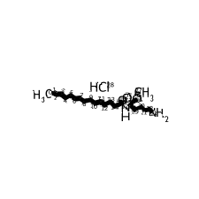 CCCCCCCCCCCCCCCC(=O)NC(CCCCN)C(=O)OC.Cl